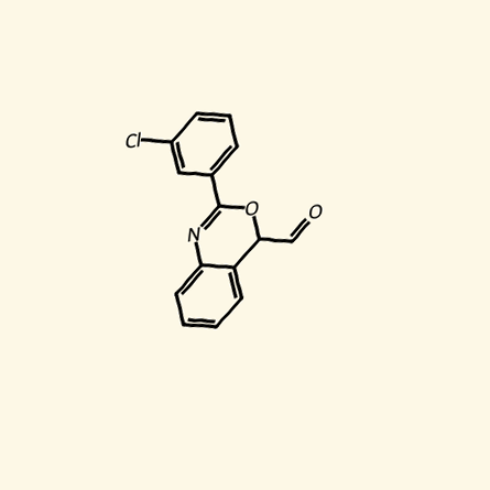 O=CC1OC(c2cccc(Cl)c2)=Nc2ccccc21